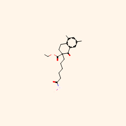 CCOC(=O)C1(CCCCCC(=O)NO)CCc2c(C)cc(C)cc2C1=O